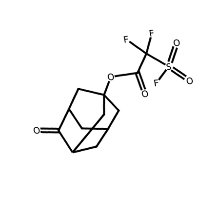 O=C1C2CC3CC1CC(OC(=O)C(F)(F)S(=O)(=O)F)(C3)C2